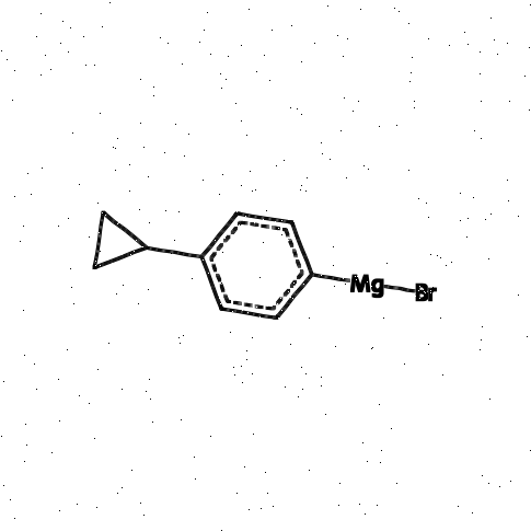 [Br][Mg][c]1ccc(C2CC2)cc1